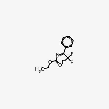 CCOC(=O)/N=C(/c1ccccc1)C(F)(F)F